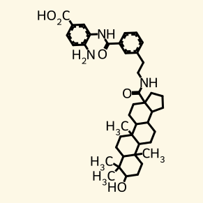 CC1(C)C(O)CCC2(C)C1CCC1(C)C3CCC4(C(=O)NCCc5cccc(C(=O)Nc6cc(C(=O)O)ccc6N)c5)CCCC4C3CCC12